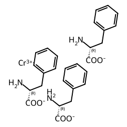 N[C@H](Cc1ccccc1)C(=O)[O-].N[C@H](Cc1ccccc1)C(=O)[O-].N[C@H](Cc1ccccc1)C(=O)[O-].[Cr+3]